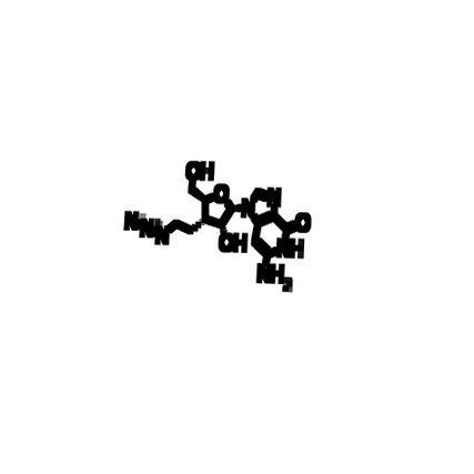 [N-]=[N+]=NCC[C@H]1[C@@H](O)[C@H](n2cnc3c(=O)[nH]c(N)cc32)O[C@@H]1CO